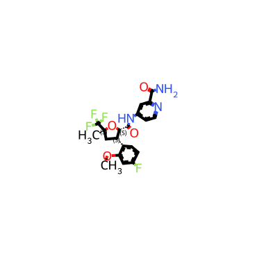 COc1cc(F)ccc1[C@@H]1C[C@@](C)(C(F)(F)F)O[C@@H]1C(=O)Nc1ccnc(C(N)=O)c1